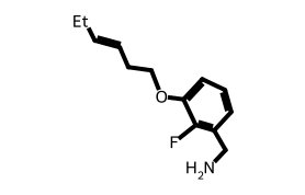 CCC=CCCOc1cccc(CN)c1F